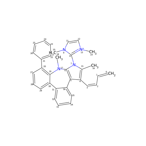 C=C/C=C\c1c2c(n(-c3n(C)cc[n+]3C)c1C)N(C)c1c(-c3ccccc3)cccc1-c1ccccc1-2